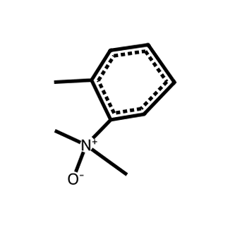 Cc1ccccc1[N+](C)(C)[O-]